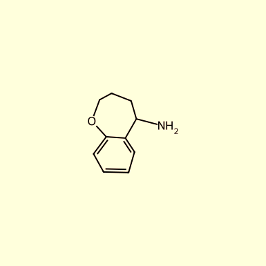 NC1CCCOc2ccccc21